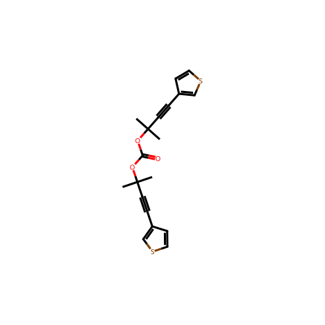 CC(C)(C#Cc1ccsc1)OC(=O)OC(C)(C)C#Cc1ccsc1